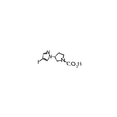 O=C(O)N1CCC(n2cc(I)cn2)C1